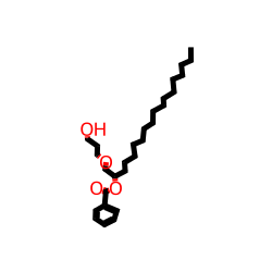 CCCCCCCCCCCCCCCCC(COCCCO)OC(=O)c1ccccc1